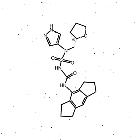 O=C(Nc1c2c(cc3c1CCC3)CCC2)NS(=O)(=O)N(C[C@@H]1CCCO1)c1cn[nH]c1